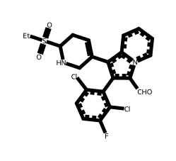 CCS(=O)(=O)C1CC=C(c2c(-c3c(Cl)ccc(F)c3Cl)c(C=O)n3ccccc23)CN1